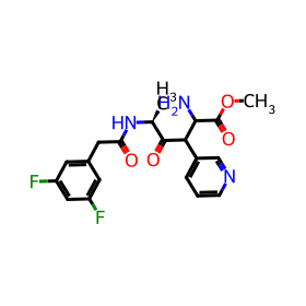 COC(=O)C(N)C(C(=O)[C@H](C)NC(=O)Cc1cc(F)cc(F)c1)c1cccnc1